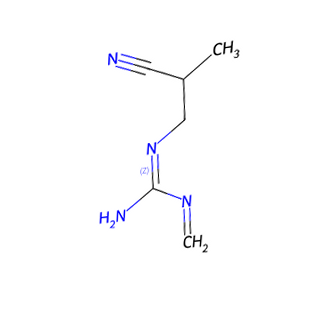 C=N/C(N)=N\CC(C)C#N